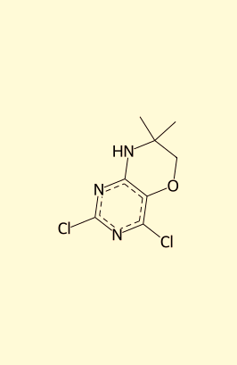 CC1(C)COc2c(Cl)nc(Cl)nc2N1